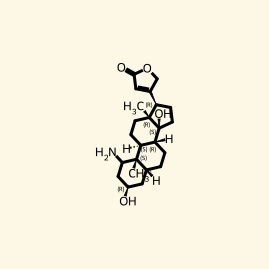 C[C@]12C(N)C[C@H](O)C[C@H]1CC[C@@H]1[C@@H]2CC[C@]2(C)[C@@H](C3=CC(=O)OC3)CC[C@]12O